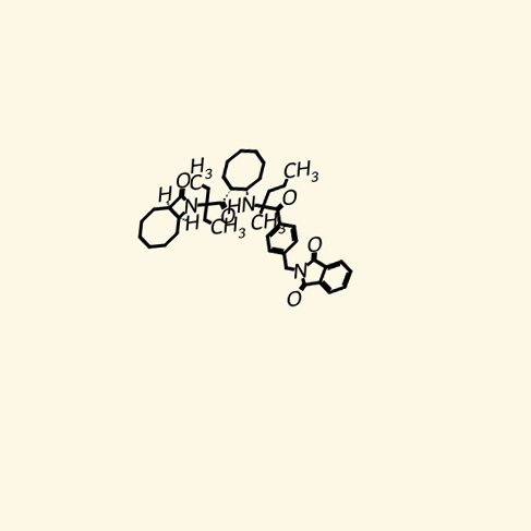 CCCC(C)(N[C@H]1CCCCCC[C@H]1C(=O)C(CC)(CC)N1C(=O)[C@@H]2CCCCCC[C@@H]21)C(=O)c1ccc(CN2C(=O)c3ccccc3C2=O)cc1